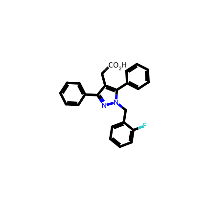 O=C(O)Cc1c(-c2ccccc2)nn(Cc2ccccc2F)c1-c1ccccc1